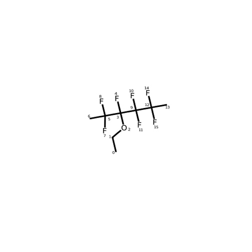 CCOC(F)(C(C)(F)F)C(F)(F)C(C)(F)F